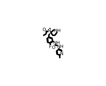 CCC(=O)N(C)[C@@]1(Cc2ccc(F)c(NC(=O)Nc3ccc(C)nc3)c2)CCCNC1